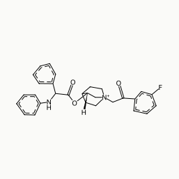 O=C(C[N+]12CCC(CC1)[C@@H](OC(=O)C(Nc1ccccc1)c1ccccc1)C2)c1cccc(F)c1